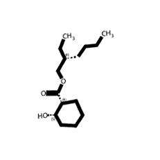 CCCC[C@@H](CC)COC(=O)[C@@H]1CCCC[C@@H]1O